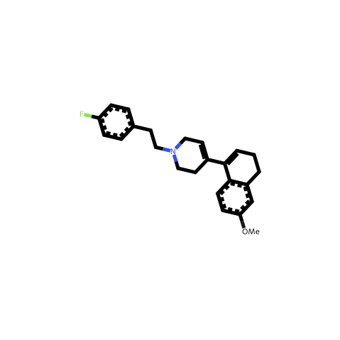 COc1ccc2c(c1)CCC=C2C1=CCN(CCc2ccc(F)cc2)CC1